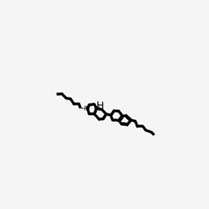 CCCCCCC[C@@H]1CC[C@@H]2CC(C3CCc4cc(CCCCCC)ccc4C3)CCC2C1